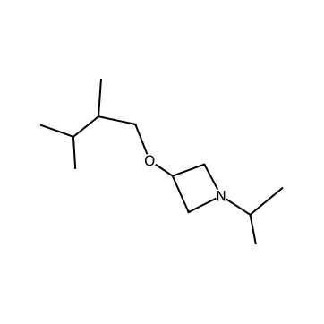 CC(C)C(C)COC1CN(C(C)C)C1